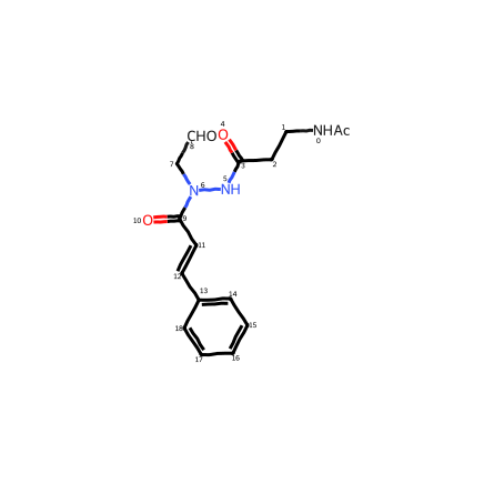 CC(=O)NCCC(=O)NN(C[C]=O)C(=O)C=Cc1ccccc1